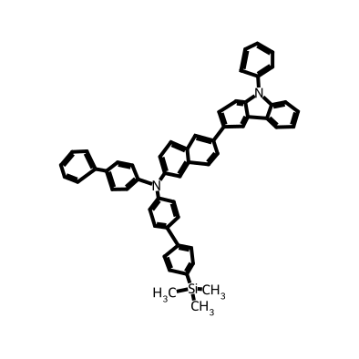 C[Si](C)(C)c1ccc(-c2ccc(N(c3ccc(-c4ccccc4)cc3)c3ccc4cc(-c5ccc6c(c5)c5ccccc5n6-c5ccccc5)ccc4c3)cc2)cc1